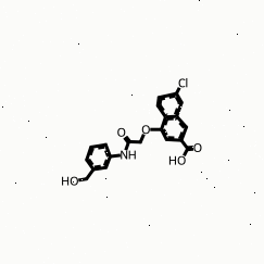 O=C(COc1cc(C(=O)O)cc2cc(Cl)ccc12)Nc1cccc(CO)c1